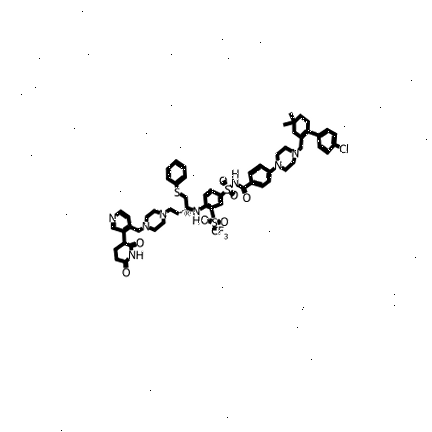 CC1(C)CCC(c2ccc(Cl)cc2)=C(CN2CCN(c3ccc(C(=O)NS(=O)(=O)c4ccc(N[C@H](CCN5CCN(Cc6ccncc6C6CCC(=O)NC6=O)CC5)CSc5ccccc5)c(S(=O)(=O)C(F)(F)F)c4)cc3)CC2)C1